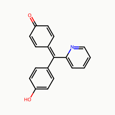 O=C1C=CC(=C(c2ccc(O)cc2)c2ccccn2)C=C1